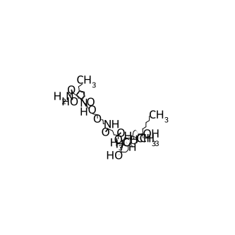 CCCCCC[C@](C)(O)[C@H]1CC[C@H]2[C@@H]3C[C@H](OC(=O)CCC(=O)NCCOCCOCC(=O)Nc4ccc(CCC)c(C(N)=O)c4O)[C@H]4C[C@@H](O)CC[C@]4(C)[C@H]3CC[C@@]21C